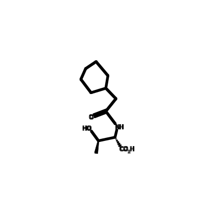 C[C@@H](O)[C@H](NC(=O)CC1CCCCC1)C(=O)O